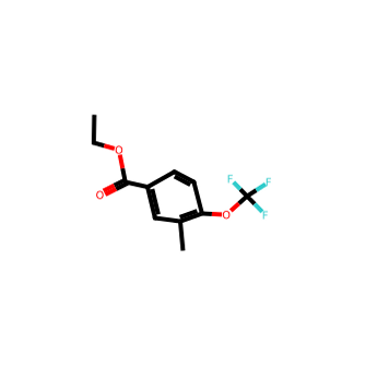 CCOC(=O)c1ccc(OC(F)(F)F)c(C)c1